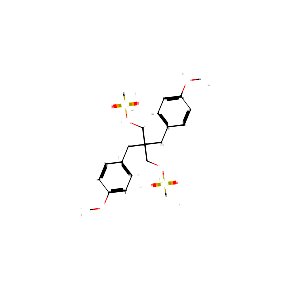 COc1ccc(CC(COS(C)(=O)=O)(COS(C)(=O)=O)Cc2ccc(OC)cc2)cc1